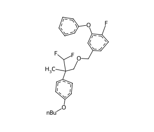 CCCCOc1ccc(C(C)(COCc2ccc(F)c(Oc3ccccc3)c2)C(F)F)cc1